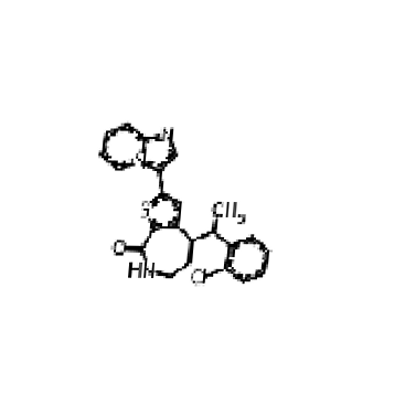 CC(c1ccccc1Cl)C1CCNC(=O)c2sc(-c3cnc4ccccn34)cc21